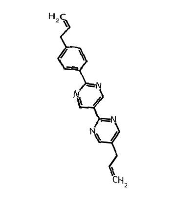 C=CCc1ccc(-c2ncc(-c3ncc(CC=C)cn3)cn2)cc1